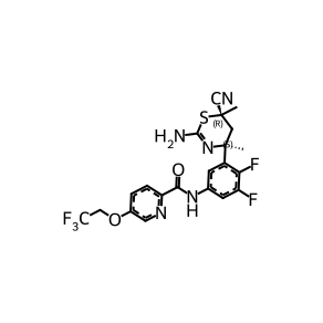 C[C@]1(C#N)C[C@@](C)(c2cc(NC(=O)c3ccc(OCC(F)(F)F)cn3)cc(F)c2F)N=C(N)S1